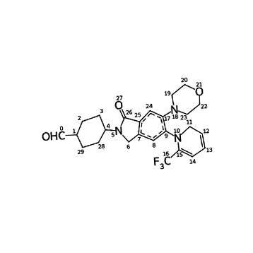 O=CC1CCC(N2Cc3cc(N4CC=CC=C4C(F)(F)F)c(N4CCOCC4)cc3C2=O)CC1